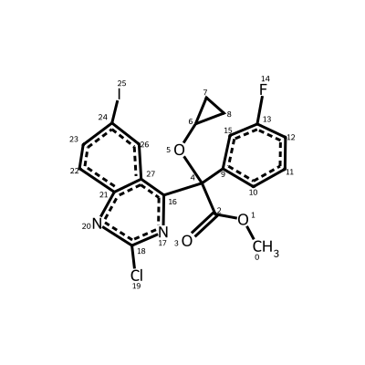 COC(=O)C(OC1CC1)(c1cccc(F)c1)c1nc(Cl)nc2ccc(I)cc12